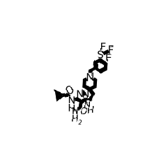 N#CCC1(n2cc(C(N)O)c(NC(=O)C3CC3)n2)CCN(Cc2cccc(SC(F)(F)F)c2)CC1